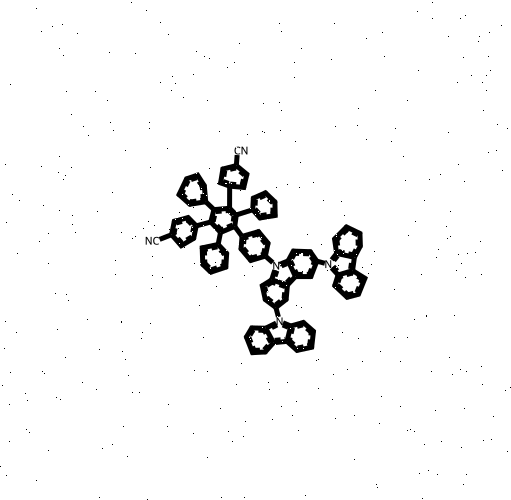 N#Cc1ccc(-c2c(-c3ccccc3)c(-c3ccc(C#N)cc3)c(-c3ccccc3)c(-c3ccc(-n4c5ccc(-n6c7ccccc7c7ccccc76)cc5c5cc(-n6c7ccccc7c7ccccc76)ccc54)cc3)c2-c2ccccc2)cc1